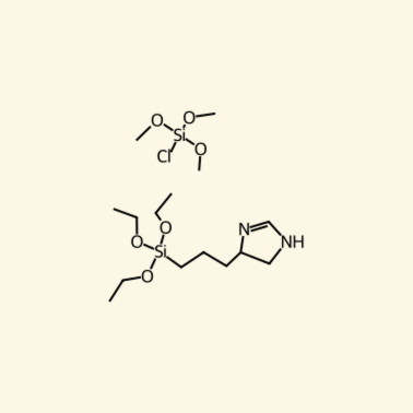 CCO[Si](CCCC1CNC=N1)(OCC)OCC.CO[Si](Cl)(OC)OC